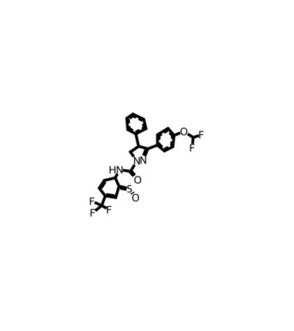 O=S=C1C=C(C(F)(F)F)C=CC1NC(=O)N1CC(c2ccccc2)C(c2ccc(OC(F)F)cc2)=N1